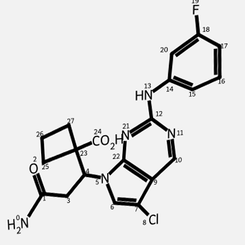 NC(=O)CC(n1cc(Cl)c2cnc(Nc3cccc(F)c3)nc21)C1(C(=O)O)CCC1